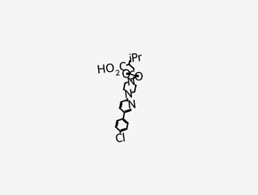 CC(C)C(CS(=O)(=O)N1CCN(c2ccc(-c3ccc(Cl)cc3)cn2)CC1)C(=O)O